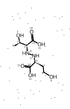 C[C@@H](O)[C@H](NN[C@@H](CCO)C(=O)O)C(=O)O